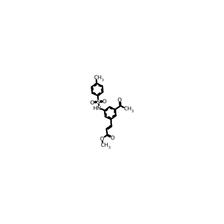 COC(=O)/C=C/c1cc(NS(=O)(=O)c2ccc(C)cc2)cc(C(C)=O)c1